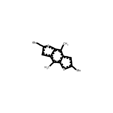 Cc1c2cc(C(C)(C)C)sc2c(C)c2cc(C(C)(C)C)sc12